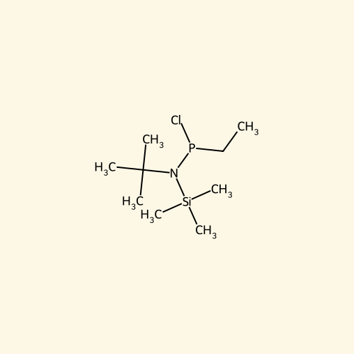 CCP(Cl)N(C(C)(C)C)[Si](C)(C)C